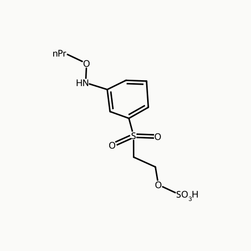 CCCONc1cccc(S(=O)(=O)CCOS(=O)(=O)O)c1